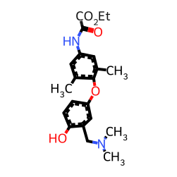 CCOC(=O)C(=O)Nc1cc(C)c(Oc2ccc(O)c(CN(C)C)c2)c(C)c1